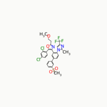 COCCc1nc(-c2cc(-c3cccc(S(C)(=O)=O)c3)ccc2-n2cc(C(F)(F)F)nc2C)c(-c2ccc(Cl)cc2Cl)o1